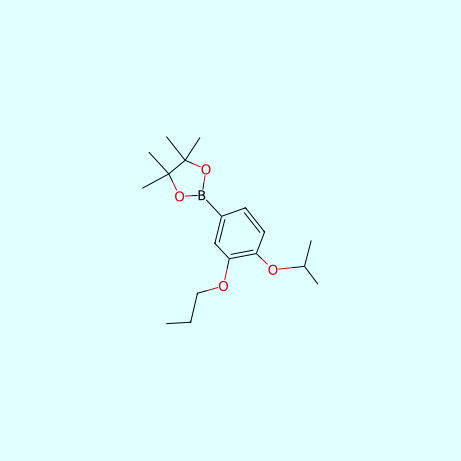 CCCOc1cc(B2OC(C)(C)C(C)(C)O2)ccc1OC(C)C